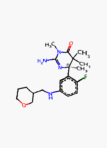 CN1C(=O)C(C)(C)[C@@](C)(c2cc(NCC3CCCOC3)ccc2F)N=C1N